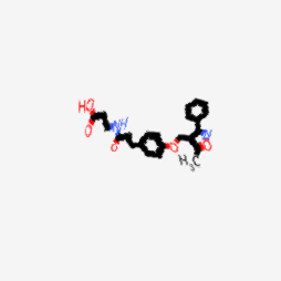 Cc1onc(-c2ccccc2)c1COc1ccc(C=CC(=O)NCCC(=O)O)cc1